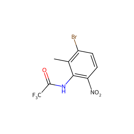 Cc1c(Br)ccc([N+](=O)[O-])c1NC(=O)C(F)(F)F